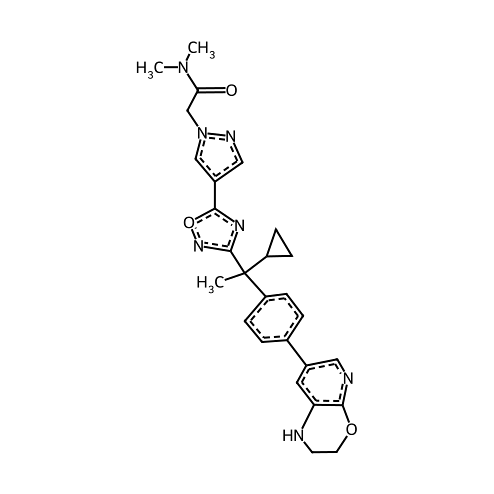 CN(C)C(=O)Cn1cc(-c2nc(C(C)(c3ccc(-c4cnc5c(c4)NCCO5)cc3)C3CC3)no2)cn1